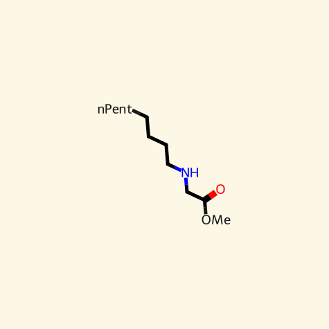 CCCCCCCCCNCC(=O)OC